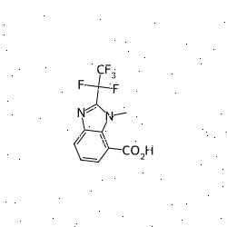 Cn1c(C(F)(F)C(F)(F)F)nc2cccc(C(=O)O)c21